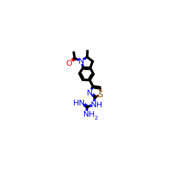 CC(=O)N1c2ccc(-c3csc(NC(=N)N)n3)cc2CC1C